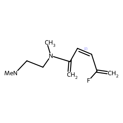 C=C(F)/C=C\C(=C)N(C)CCNC